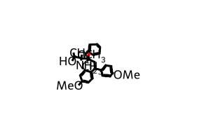 COc1ccc(C(CC(C)(C)C(N)(Oc2ccccc2)C(C)O)c2ccc(OC)cc2)cc1